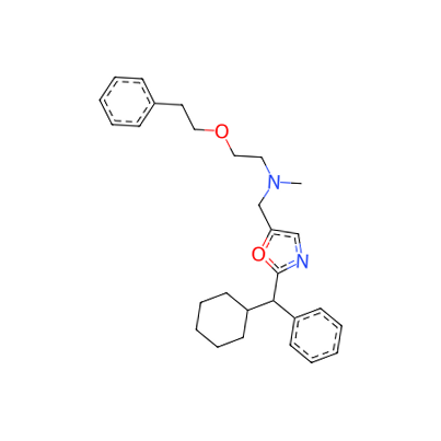 CN(CCOCCc1ccccc1)Cc1cnc(C(c2ccccc2)C2CCCCC2)o1